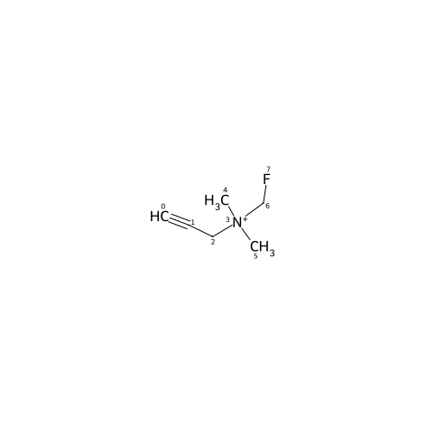 C#CC[N+](C)(C)CF